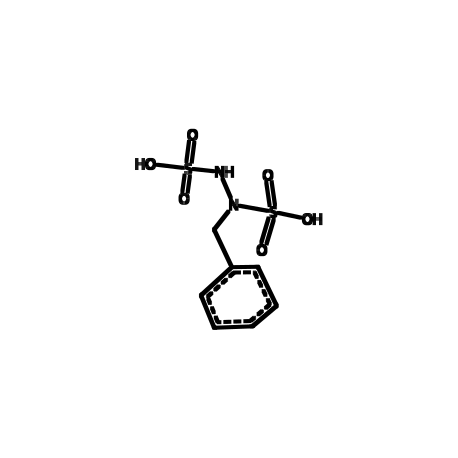 O=S(=O)(O)NN(Cc1ccccc1)S(=O)(=O)O